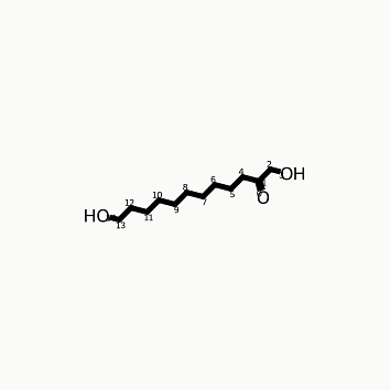 O=C(CO)CCCCCCCCCCO